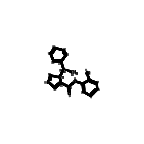 CC(=O)c1ccccc1OC(=O)c1cncn1[C@H](C)c1ccccc1